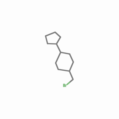 BrCC1CCC(C2CCCC2)CC1